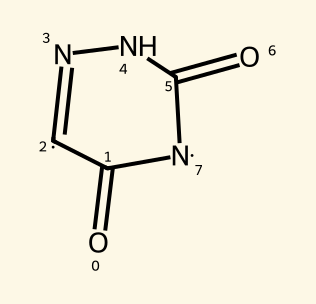 O=C1[C]=NNC(=O)[N]1